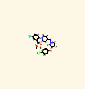 COC(=O)c1cc(F)ccc1N1CCC(CN2CC[C@H](Oc3ccc(Cl)cc3)C2)CC1